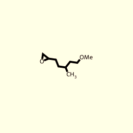 COCCC(C)CCC1CO1